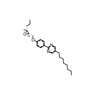 CCCCCCCCc1cnc(-c2ccc(OC[C@@H]3O[C@@H]3CCC)cc2)nc1